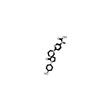 CN(C(=O)O)c1ccc(N2CCC[C@]3(CCN([C@H]4CC[C@H](O)CC4)C3=O)C2)nc1